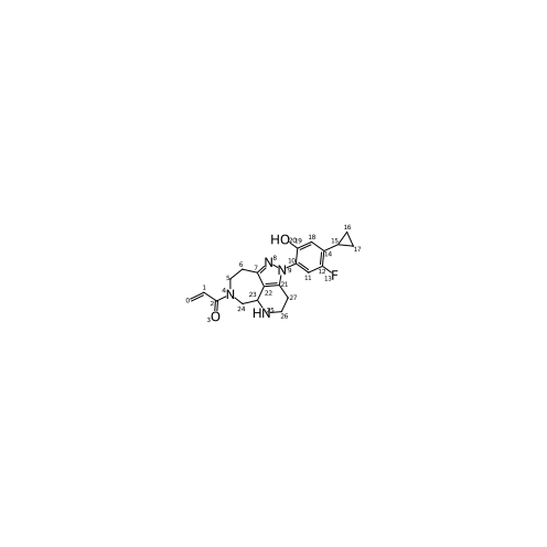 C=CC(=O)N1CCc2nn(-c3cc(F)c(C4CC4)cc3O)c3c2C(C1)NCC3